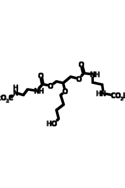 CCOC(=O)NCCNC(=O)OCC(COC(=O)NCCNC(=O)OCC)OCCCCO